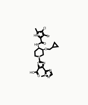 Cc1[nH]c(C(=O)N[C@@H]2CCN(c3nc(-c4ncnn4C)c(C(=O)O)s3)C[C@@H]2OCC2CC2)c(Br)c1Cl